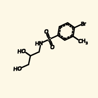 Cc1cc(S(=O)(=O)NCC(O)CO)ccc1Br